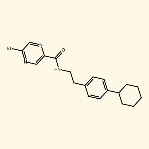 CCc1cnc(C(=O)NCCc2[c]cc(C3CCCCC3)cc2)cn1